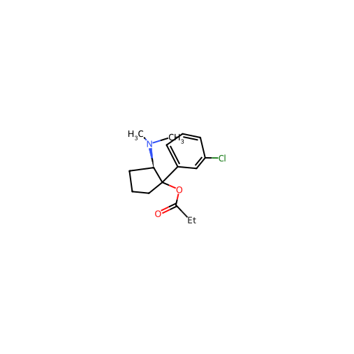 CCC(=O)OC1(c2cccc(Cl)c2)CCC[C@H]1N(C)C